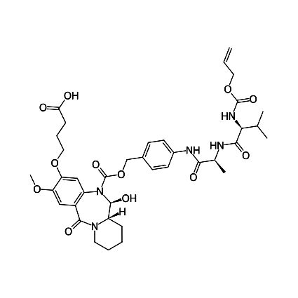 C=CCOC(=O)N[C@H](C(=O)N[C@@H](C)C(=O)Nc1ccc(COC(=O)N2c3cc(OCCCC(=O)O)c(OC)cc3C(=O)N3CCCC[C@H]3[C@@H]2O)cc1)C(C)C